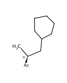 CC(=O)[C@@H](C)CC1CCCCC1